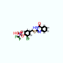 O=c1[nH]c(SCc2ccc(OP(=O)(O)C(F)F)c(Br)c2)nc2ccccc12